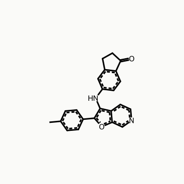 Cc1ccc(-c2oc3cnccc3c2Nc2ccc3c(c2)CCC3=O)cc1